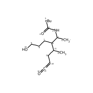 [CH2]C(NC(=O)CCCC)C(CCCO)C(C)CC=C=O